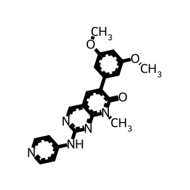 COc1cc(OC)cc(-c2cc3cnc(Nc4ccncc4)nc3n(C)c2=O)c1